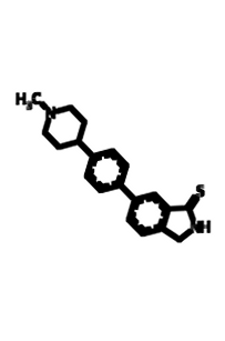 CN1CCC(c2ccc(-c3ccc4c(c3)C(=S)NC4)cc2)CC1